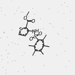 COC(=O)c1sccc1NS(=O)(=O)c1c(C)c(C)c(C)c(C)c1C